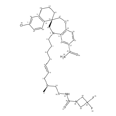 C[C@@H](C/C=C/CCCCN1C[C@@]2(CCCc3cc(Cl)ccc32)COc2ccc(C(N)=O)cc21)CSNC(=O)N1CC(F)(F)C1